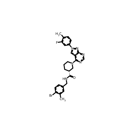 Cc1ccc(-n2cc3c(N4CCC[C@@H](C(=O)NCc5ccc(Br)c(C)c5)C4)ncnc3n2)cc1F